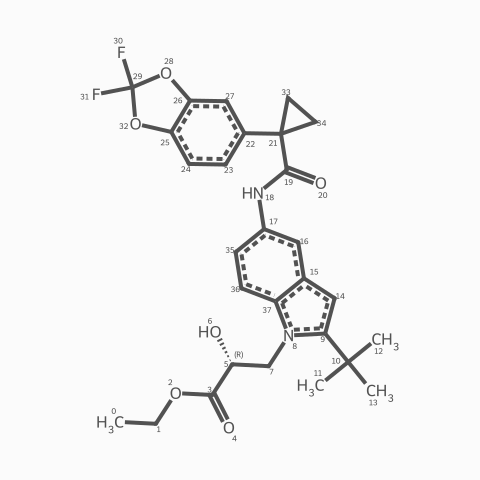 CCOC(=O)[C@H](O)Cn1c(C(C)(C)C)cc2cc(NC(=O)C3(c4ccc5c(c4)OC(F)(F)O5)CC3)ccc21